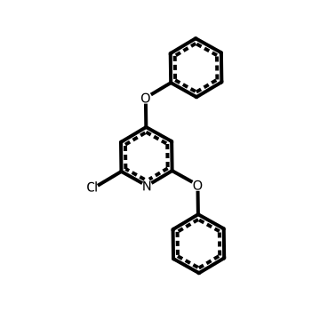 Clc1cc(Oc2ccccc2)cc(Oc2ccccc2)n1